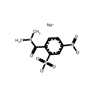 CN(C)C(=O)c1ccc([N+](=O)[O-])cc1S(=O)(=O)[O-].[Na+]